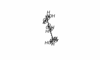 C[C@H](CCN(CCCCOC(=O)NCC(=O)NCCCCCCNC(=NC(=O)O)NC(=O)OC(C)(C)C)C(=O)OC(C)(C)C)NC(=O)O